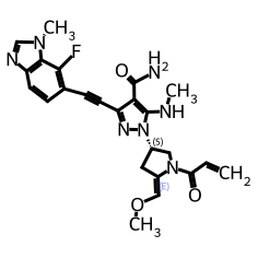 C=CC(=O)N1C[C@@H](n2nc(C#Cc3ccc4ncn(C)c4c3F)c(C(N)=O)c2NC)C/C1=C\OC